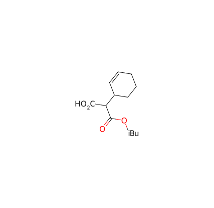 CCC(C)OC(=O)C(C(=O)O)C1C=CCCC1